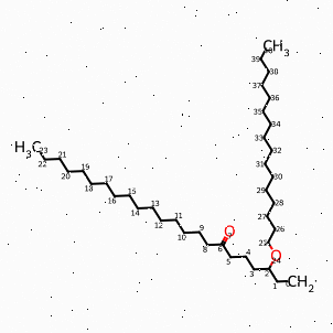 [CH2]CC(CCCC(=O)CCCCCCCCCCCCCCCC)OCCCCCCCCCCCCCCCC